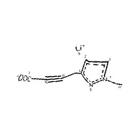 Cn1ccc(C#CC(=O)[O-])n1.[Li+]